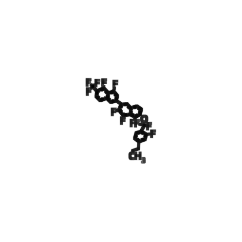 CCCc1ccc(C(F)(F)Oc2ccc3cc(-c4cc(F)c5c(F)c(C(F)(F)F)ccc5c4)c(F)c(F)c3c2F)c(F)c1